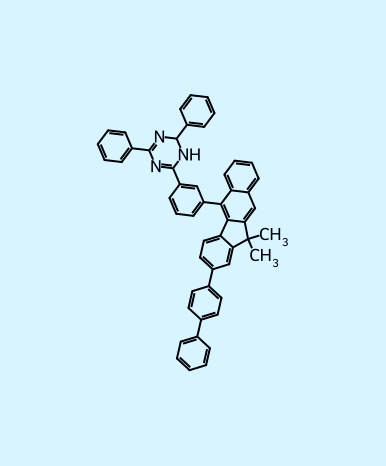 CC1(C)c2cc(-c3ccc(-c4ccccc4)cc3)ccc2-c2c1cc1ccccc1c2-c1cccc(C2=NC(c3ccccc3)=NC(c3ccccc3)N2)c1